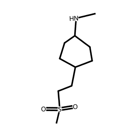 CNC1CCC(CCS(C)(=O)=O)CC1